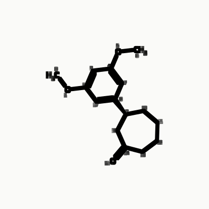 COc1cc(OC)cc([C@H]2CCCCC(=O)C2)c1